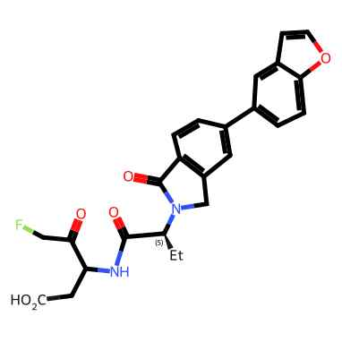 CC[C@@H](C(=O)NC(CC(=O)O)C(=O)CF)N1Cc2cc(-c3ccc4occc4c3)ccc2C1=O